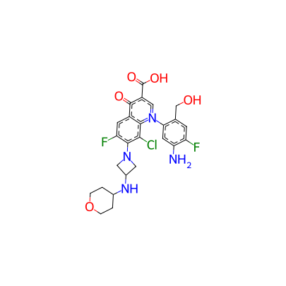 Nc1cc(-n2cc(C(=O)O)c(=O)c3cc(F)c(N4CC(NC5CCOCC5)C4)c(Cl)c32)c(CO)cc1F